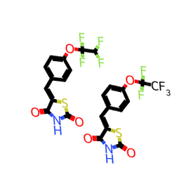 O=C1NC(=O)/C(=C/c2ccc(OC(F)(F)C(F)(F)F)cc2)S1.O=C1NC(=O)/C(=C/c2ccc(OC(F)(F)C(F)F)cc2)S1